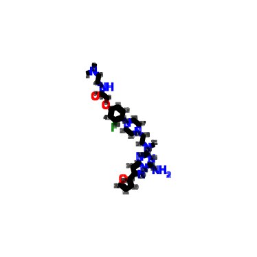 CN(C)CCNC(=O)COc1ccc(N2CCN(CCN(C)c3nc(N)n4nc(-c5ccco5)cc4n3)CC2)c(F)c1